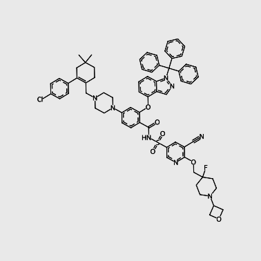 CC1(C)CCC(CN2CCN(c3ccc(C(=O)NS(=O)(=O)c4cnc(OCC5(F)CCN(C6COC6)CC5)c(C#N)c4)c(Oc4cccc5c4cnn5C(c4ccccc4)(c4ccccc4)c4ccccc4)c3)CC2)=C(c2ccc(Cl)cc2)C1